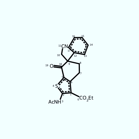 CCOC(=O)c1c(NC(C)=O)sc2c1CCC(CC#N)(c1ccccc1)C2=O